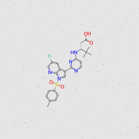 Cc1ccc(S(=O)(=O)n2cc(-c3nccc(N[C@H](CC(=O)O)C(C)(C)C)n3)c3cc(F)cnc32)cc1